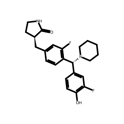 O=C1NCC[C@@H]1Cc1ccc([C@@H](c2ccc(O)c(F)c2)N2CCCCC2)c(F)c1